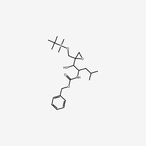 CC(C)CC(NC(=O)OCc1ccccc1)C(O)C1(CO[Si](C)(C)C(C)(C)C)CO1